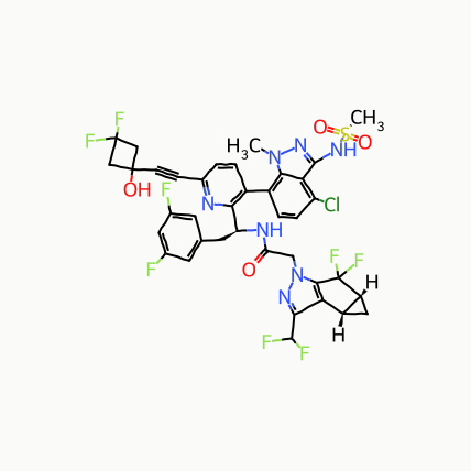 Cn1nc(NS(C)(=O)=O)c2c(Cl)ccc(-c3ccc(C#CC4(O)CC(F)(F)C4)nc3[C@H](Cc3cc(F)cc(F)c3)NC(=O)Cn3nc(C(F)F)c4c3C(F)(F)[C@@H]3C[C@H]43)c21